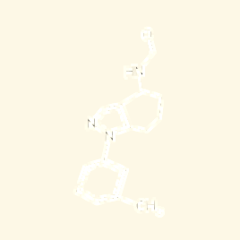 Cc1cccc(-n2ncc3c2CCCC3NC=O)c1